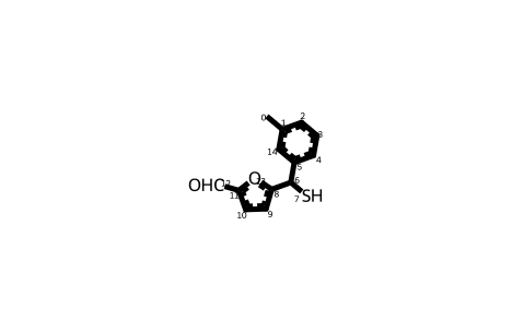 Cc1cccc(C(S)c2ccc(C=O)o2)c1